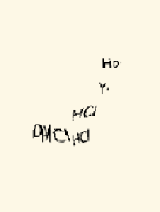 Cl.Cl.Cl.[Dy].[Ho].[Y]